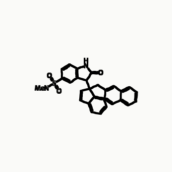 CNS(=O)(=O)c1ccc2c(c1)C(C1(Cc3ccc4ccccc4c3)C=Cc3ccccc31)C(=O)N2